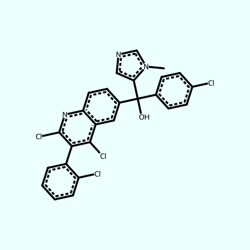 Cn1cncc1C(O)(c1ccc(Cl)cc1)c1ccc2nc(Cl)c(-c3ccccc3Cl)c(Cl)c2c1